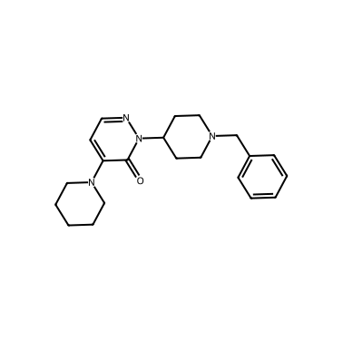 O=c1c(N2CCCCC2)ccnn1C1CCN(Cc2ccccc2)CC1